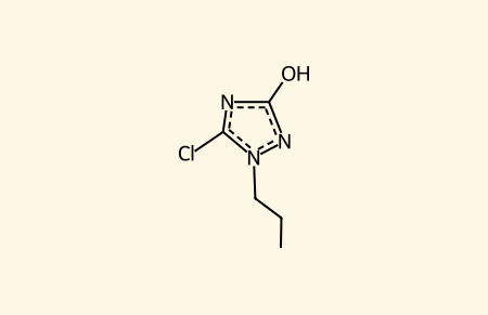 CCCn1nc(O)nc1Cl